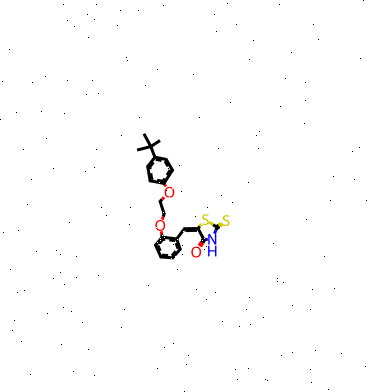 CC(C)(C)c1ccc(OCCOc2ccccc2C=C2SC(=S)NC2=O)cc1